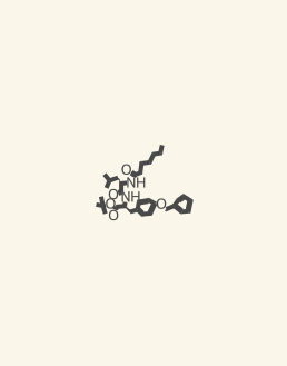 CCCCCCC(=O)N[C@@H](CC(C)C)C(=O)N[C@@H](Cc1ccc(OCc2ccccc2)cc1)C(=O)OC(C)(C)C